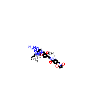 CCCCNc1nc(N)nc2cn(Cc3c(OC)ccc(CCNC(=O)C4CCC(CN5C(=O)C=CC5=O)CC4)c3OC)nc12